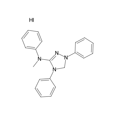 CN(C1=NN(c2ccccc2)CN1c1ccccc1)c1ccccc1.I